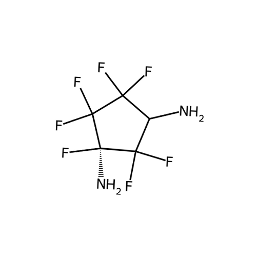 NC1C(F)(F)C(F)(F)[C@](N)(F)C1(F)F